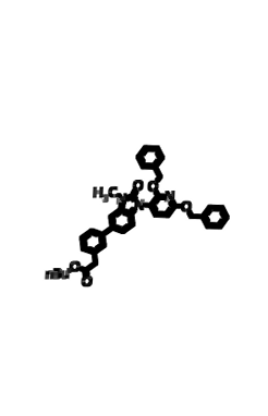 CCCCOC(=O)Cc1cccc(-c2ccc3c(c2)n(C)c(=O)n3-c2ccc(OCc3ccccc3)nc2OCc2ccccc2)c1